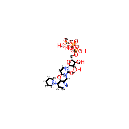 O=c1ccn([C@@H]2O[C@H](COP(=O)(O)OP(=O)(O)OP(=O)(O)O)C(O)[C@@H]2O)c(=O)n1Cc1cc(N2CCCCC2)ccn1